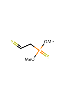 COP(=S)(CC=S)OC